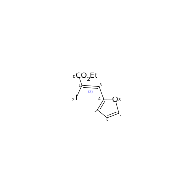 CCOC(=O)/C(I)=C/c1ccco1